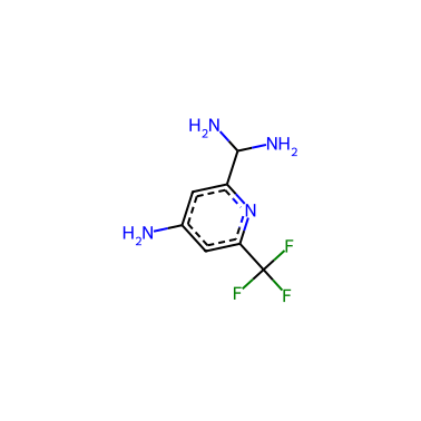 Nc1cc(C(N)N)nc(C(F)(F)F)c1